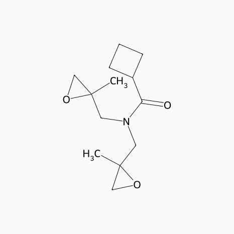 CC1(CN(CC2(C)CO2)C(=O)C2CCC2)CO1